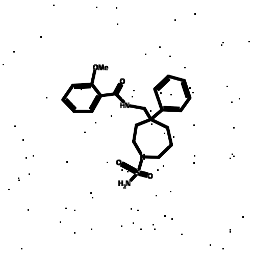 COc1ccccc1C(=O)NCC1(c2ccccc2)CCCN(S(N)(=O)=O)CC1